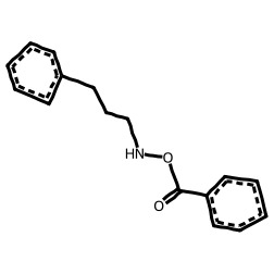 O=C(ONCCCc1ccccc1)c1ccccc1